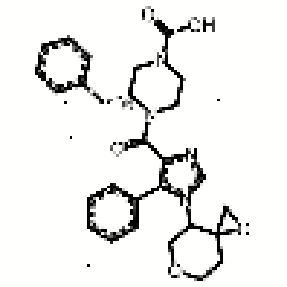 O=C(O)N1CCN(C(=O)c2ncn(C3COCCC34CO4)c2-c2ccccc2)[C@H](Cc2ccccc2)C1